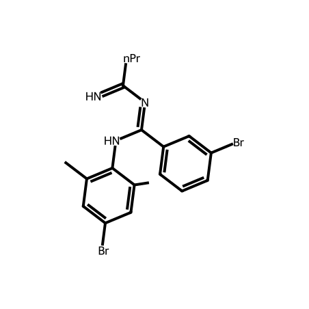 CCCC(=N)/N=C(\Nc1c(C)cc(Br)cc1C)c1cccc(Br)c1